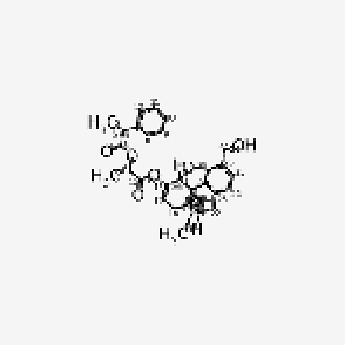 C[C@H](OC(=O)[C@@H](C)c1ccccc1)C(=O)OC1=CC[C@@]2(O)[C@H]3Cc4ccc(CO)c5c4[C@@]2(CCN3C)[C@H]1O5